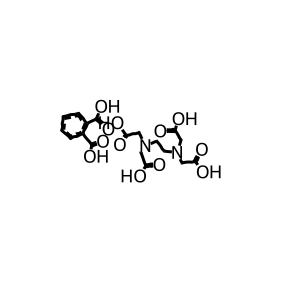 O=C(O)CN(CCN(CC(=O)O)CC(=O)O)CC(=O)O.O=C(O)c1ccccc1C(=O)O